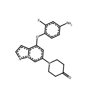 Nc1ccc(Oc2cc(N3CCC(=O)CC3)cn3nccc23)c(F)c1